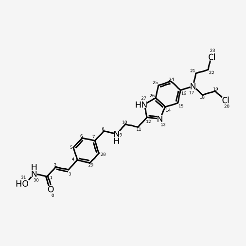 O=C(/C=C/c1ccc(CNCCc2nc3cc(N(CCCl)CCCl)ccc3[nH]2)cc1)NO